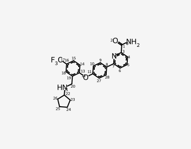 NC(=O)c1cccc(-c2ccc(Oc3ccc(C(F)(F)F)cc3CNC3CCCC3)cc2)n1